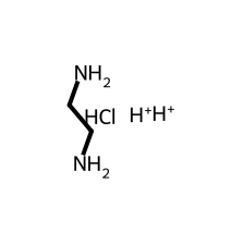 Cl.NCCN.[H+].[H+]